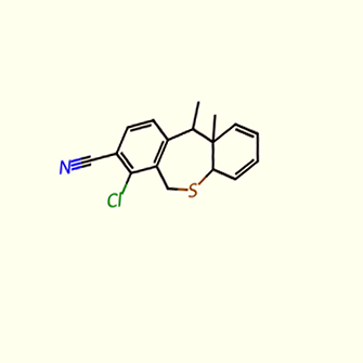 CC1c2ccc(C#N)c(Cl)c2CSC2C=CC=CC21C